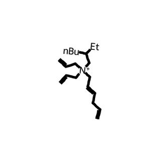 C=CCC=CC[N+](CC=C)(CC=C)CC(CC)CCCC